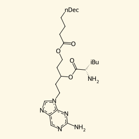 CCCCCCCCCCCCCC(=O)OCCC(CCn1cnc2cnc(N)nc21)OC(=O)[C@@H](N)[C@@H](C)CC